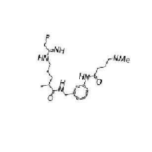 CNCCCC(=O)Nc1cccc(CNC(=O)[C@@H](C)CCCNC(=N)CF)c1